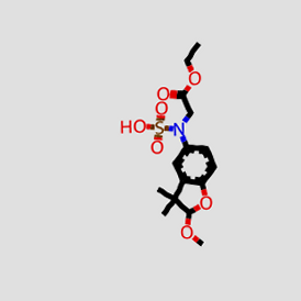 CCOC(=O)CN(c1ccc2c(c1)C(C)(C)C(OC)O2)S(=O)(=O)O